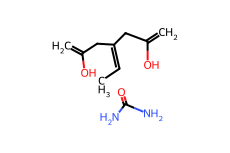 C=C(O)CC(=CC)CC(=C)O.NC(N)=O